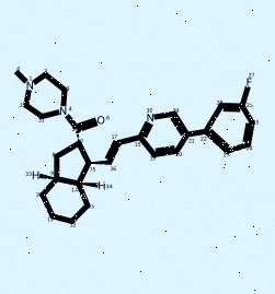 CN1CCN(C(=O)[C@H]2C[C@H]3CCCC[C@H]3[C@@H]2/C=C/c2ccc(-c3cccc(F)c3)cn2)CC1